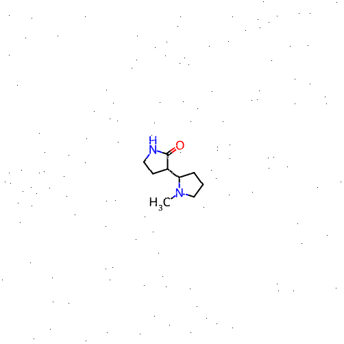 CN1CCCC1C1CCNC1=O